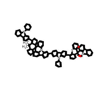 CC1(C)c2ccccc2C2(c3ccccc3-n3c4cc(-c5ccc6c7ccc(-c8cccc9c8Sc8ccccc8C98c9ccccc9-n9c%10ccccc%10c%10cccc8c%109)cc7n(-c7ccccc7)c6c5)ccc4c4cccc2c43)c2cccc(-c3ccc4c5ccccc5n(-c5ccccc5)c4c3)c21